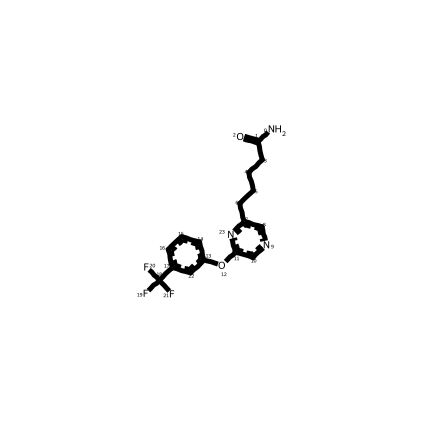 NC(=O)CCCCc1cncc(Oc2cccc(C(F)(F)F)c2)n1